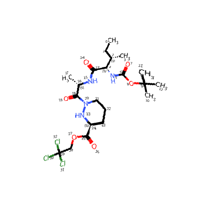 CC[C@H](C)[C@H](NC(=O)OC(C)(C)C)C(=O)N[C@@H](C)C(=O)N1CCC[C@@H](C(=O)OCC(Cl)(Cl)Cl)N1